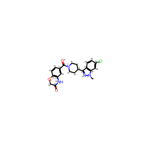 Cn1nc(C2CCN(C(=O)c3ccc4c(c3)NC(=O)CO4)CC2)c2ccc(Cl)cc21